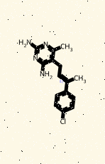 C/C(=C\Cc1c(C)nc(N)nc1N)c1ccc(Cl)cc1